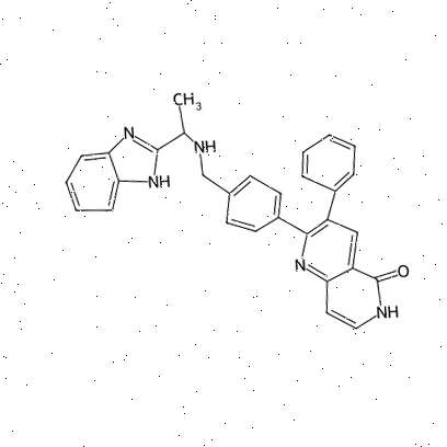 CC(NCc1ccc(-c2nc3cc[nH]c(=O)c3cc2-c2ccccc2)cc1)c1nc2ccccc2[nH]1